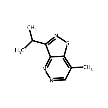 Cc1cnnc2c(C(C)C)nsc12